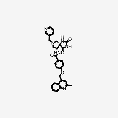 Cc1cc(COc2ccc(C(=O)N[C@@H]3CN(Cc4cccnc4)C[C@]34NC(=O)NC4=O)cc2)c2ccccc2n1